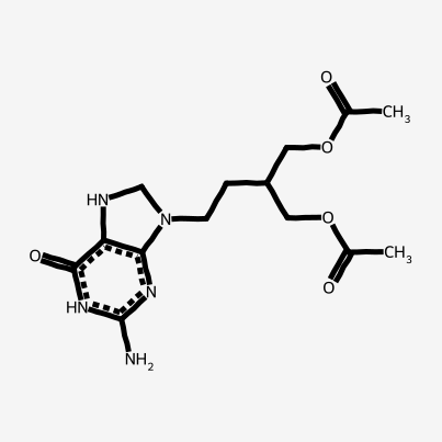 CC(=O)OCC(CCN1CNc2c1nc(N)[nH]c2=O)COC(C)=O